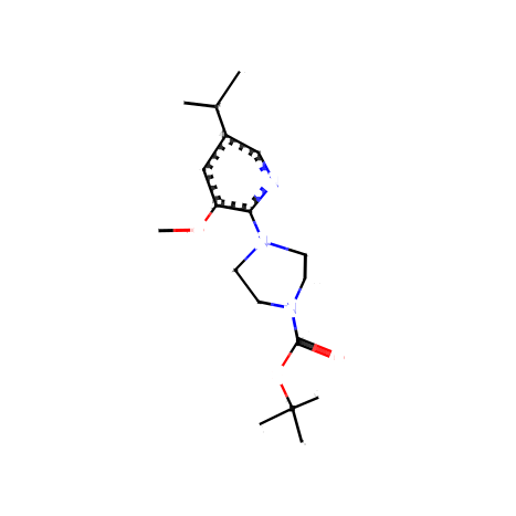 COc1cc(C(C)C)cnc1N1CCN(C(=O)OC(C)(C)C)CC1